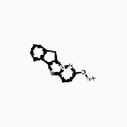 CCCOc1ccc2nc3c(n2n1)Cc1ccccc1-3